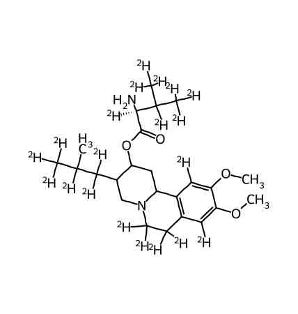 [2H]c1c(OC)c(OC)c([2H])c2c1C1CC(OC(=O)[C@@]([2H])(N)C([2H])(C([2H])([2H])[2H])C([2H])([2H])[2H])C(C([2H])([2H])C([2H])(C)C([2H])([2H])[2H])CN1C([2H])([2H])C2([2H])[2H]